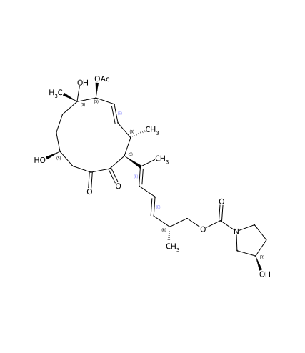 CC(=O)O[C@H]1/C=C/[C@H](C)[C@@H](/C(C)=C/C=C/[C@@H](C)COC(=O)N2CC[C@@H](O)C2)C(=O)C(=O)C[C@@H](O)CC[C@]1(C)O